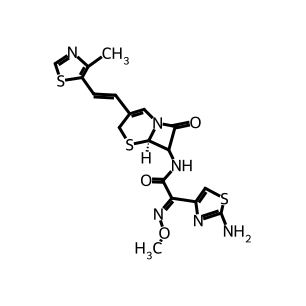 CO/N=C(/C(=O)NC1C(=O)N2C=C(/C=C/c3scnc3C)CS[C@H]12)c1csc(N)n1